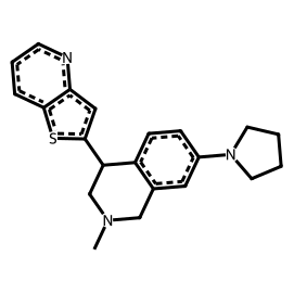 CN1Cc2cc(N3CCCC3)ccc2C(c2cc3ncccc3s2)C1